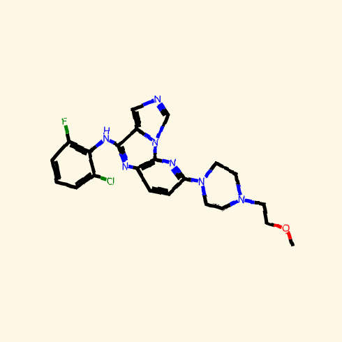 COCCN1CCN(c2ccc3nc(Nc4c(F)cccc4Cl)c4cncn4c3n2)CC1